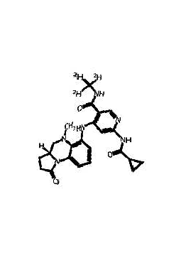 [2H]C([2H])([2H])NC(=O)c1cnc(NC(=O)C2CC2)cc1Nc1cccc2c1N(C)C[C@H]1CCC(=O)N21